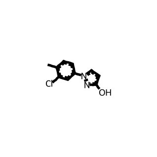 Cc1ccc(-n2ccc(O)n2)cc1Cl